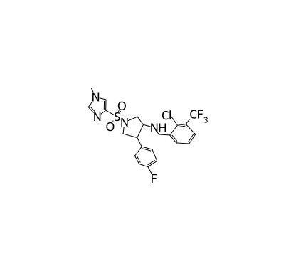 Cn1cnc(S(=O)(=O)N2CC(NCc3cccc(C(F)(F)F)c3Cl)C(c3ccc(F)cc3)C2)c1